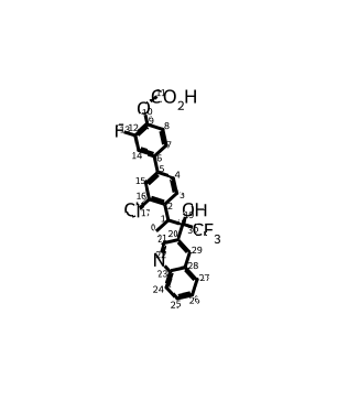 CC(c1ccc(-c2ccc(OC(=O)O)c(F)c2)cc1Cl)C(O)(c1cnc2ccccc2c1)C(F)(F)F